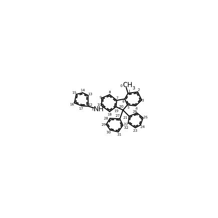 Cc1cccc2c1-c1ccc(Nc3ccccc3)cc1C2(c1ccccc1)c1ccccc1